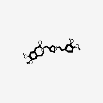 COc1ccc(CCN2CCC(CN3CCc4cc(OC)c(OC)cc4CC3=O)C2)cc1OC